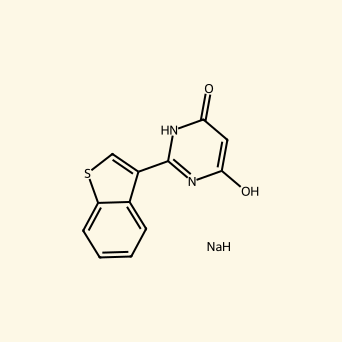 O=c1cc(O)nc(-c2csc3ccccc23)[nH]1.[NaH]